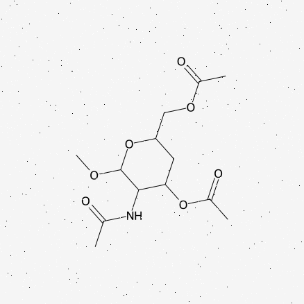 COC1OC(COC(C)=O)CC(OC(C)=O)C1NC(C)=O